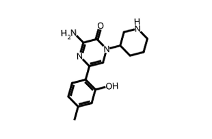 Cc1ccc(-c2cn(C3CCCNC3)c(=O)c(N)n2)c(O)c1